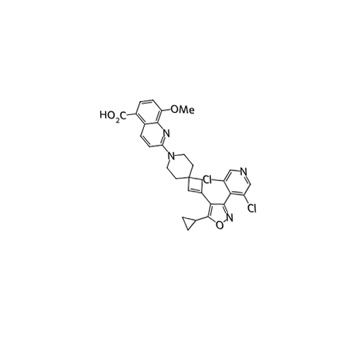 COc1ccc(C(=O)O)c2ccc(N3CCC4(C=C(c5c(-c6c(Cl)cncc6Cl)noc5C5CC5)C4)CC3)nc12